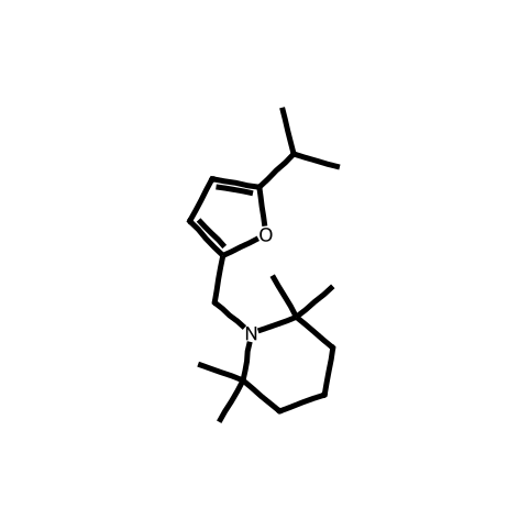 CC(C)c1ccc(CN2C(C)(C)CCCC2(C)C)o1